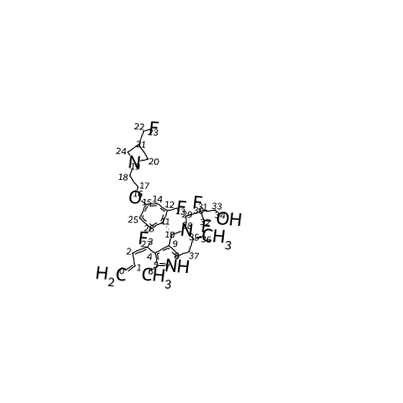 C=C/C=C\c1c(C)[nH]c2c1[C@H](c1c(F)cc(OCCN3CC(CF)C3)cc1F)N(CC(F)(F)CO)[C@@H](C)C2